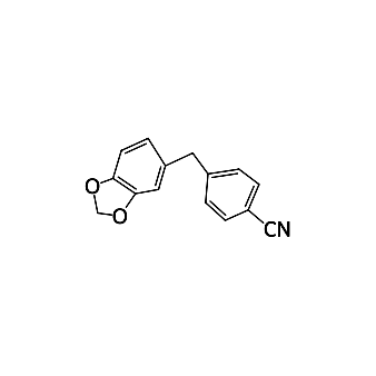 N#Cc1ccc(Cc2ccc3c(c2)OCO3)cc1